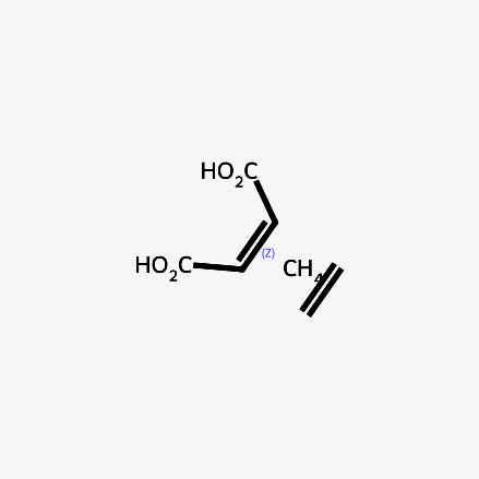 C.C=C.O=C(O)/C=C\C(=O)O